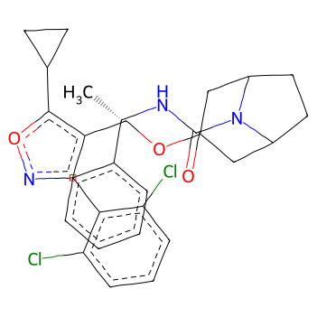 C[C@H](NC(=O)N1C2CCC1CC(OCc1c(-c3c(Cl)cccc3Cl)noc1C1CC1)C2)c1ccccc1